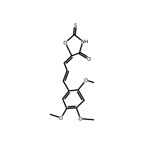 COc1cc(OC)c(OC)cc1C=CC=C1OC(=S)NC1=O